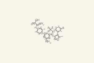 Cc1noc(C)c1-c1cc(F)ccc1C(Oc1cc(-c2ccc(C[C@H](N)C(=O)O)cc2)nc(N)n1)C(F)(F)F